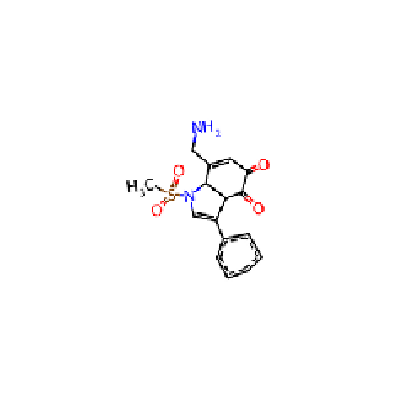 CS(=O)(=O)N1C=C(c2ccccc2)C2C(=O)C(=O)C=C(CN)C21